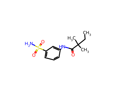 CCC(C)(C)C(=O)Nc1cccc(S(N)(=O)=O)c1